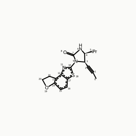 CC#C[C@@H]1[C@H](C(C)C)NC(=O)N1c1nc2c3c(ccc2s1)OCC3